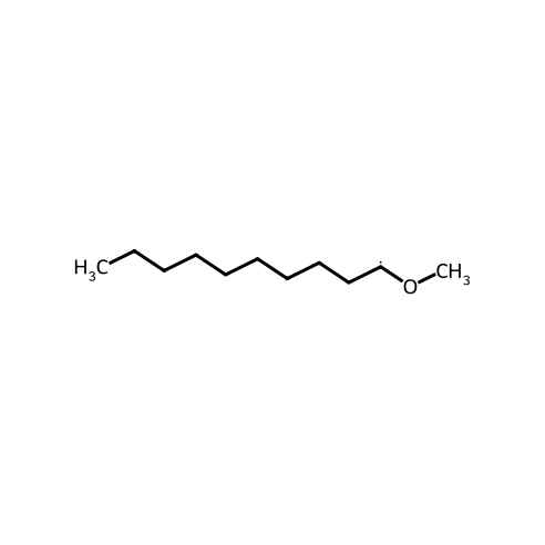 CCCCCCCCC[CH]OC